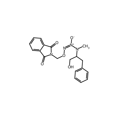 CN(C(CO)Cc1ccccc1)/[N+]([O-])=N\OCN1C(=O)c2ccccc2C1=O